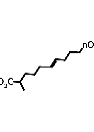 CCCCCCCCCCCC=CCCCC(C)C(=O)O